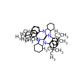 CC(C)(C)c1cccc(N2C(=C3N(c4cccc(C(C)(C)C)c4)C4CCCCC4N3c3cccc(C(C)(C)C)c3)N(c3cccc(C(C)(C)C)c3)C3CCCCC32)c1